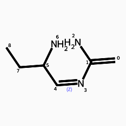 C=C(N)/N=C\C(N)CC